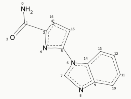 NC(=O)c1nc(-n2cnc3ccccc32)cs1